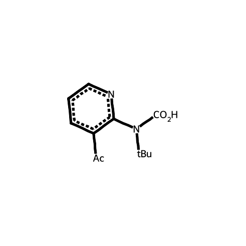 CC(=O)c1cccnc1N(C(=O)O)C(C)(C)C